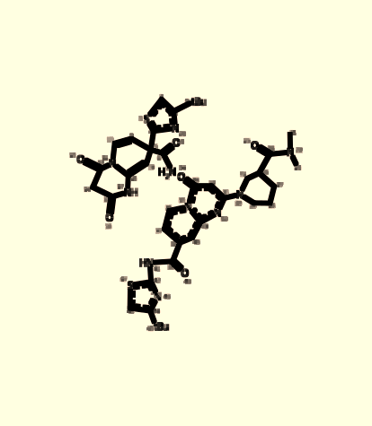 CC(C)(C)c1csc(C2(C(N)=O)C=CN3C(=O)CC(=O)NC3=C2)n1.CN(C)C(=O)C1CCCN(c2cc(=O)n3ccc(C(=O)Nc4nc(C(C)(C)C)cs4)cc3n2)C1